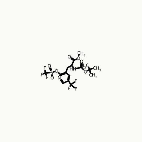 COC(=O)C(Cc1cc(C(F)(F)F)cnc1OS(=O)(=O)C(F)(F)F)NC(=O)OC(C)(C)C